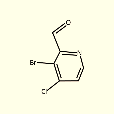 O=Cc1nccc(Cl)c1Br